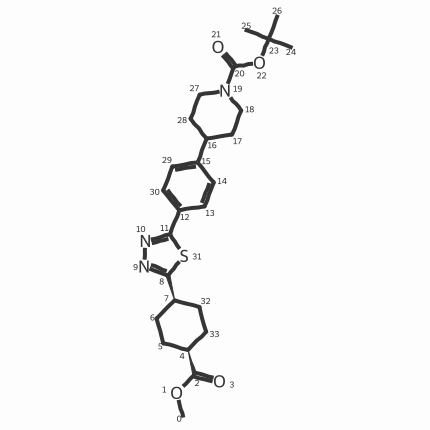 COC(=O)[C@H]1CC[C@@H](c2nnc(-c3ccc(C4CCN(C(=O)OC(C)(C)C)CC4)cc3)s2)CC1